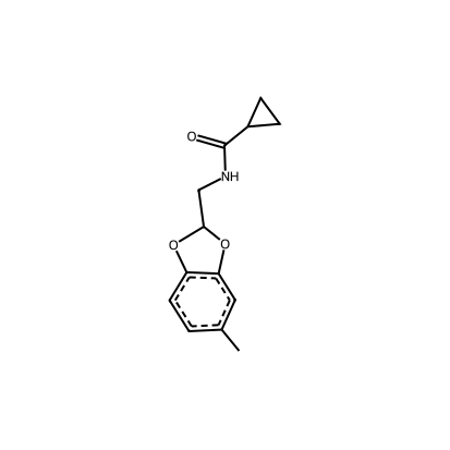 Cc1ccc2c(c1)OC(CNC(=O)C1CC1)O2